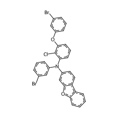 Clc1c(Oc2cccc(Br)c2)cccc1N(c1cccc(Br)c1)c1ccc2c(c1)oc1ccccc12